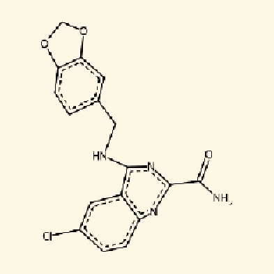 NC(=O)c1nc(NCc2ccc3c(c2)OCO3)c2cc(Cl)ccc2n1